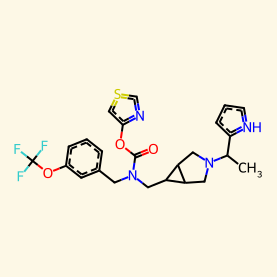 CC(c1ccc[nH]1)N1CC2C(CN(Cc3cccc(OC(F)(F)F)c3)C(=O)Oc3cscn3)C2C1